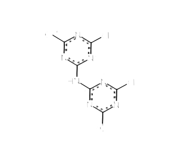 Clc1nc(Cl)nc(Nc2nc(Cl)nc(Cl)n2)n1